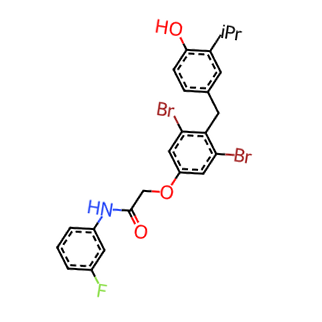 CC(C)c1cc(Cc2c(Br)cc(OCC(=O)Nc3cccc(F)c3)cc2Br)ccc1O